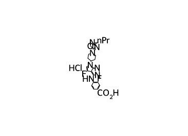 CCCc1noc(N2CCC(n3cc(F)c4c(Nc5ccc(C(=O)O)cc5F)ncnc43)CC2)n1.Cl